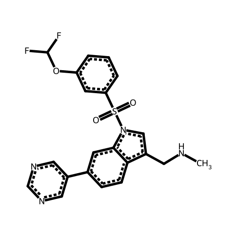 CNCc1cn(S(=O)(=O)c2cccc(OC(F)F)c2)c2cc(-c3cncnc3)ccc12